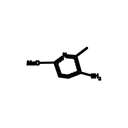 Bc1ccc(OC)nc1C